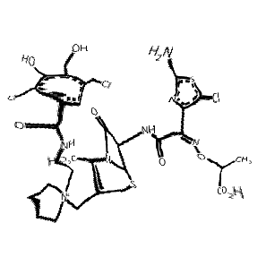 C[C@H](O/N=C(\C(=O)NC1C(=O)N2C(C(=O)O)=C(C[N+]3(CCNC(=O)c4cc(Cl)c(O)c(O)c4Cl)CCCC3)CSC12)c1nc(N)sc1Cl)C(=O)O